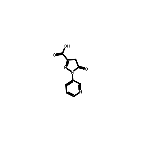 O=C(O)C1=NN(c2cccnc2)C(=O)C1